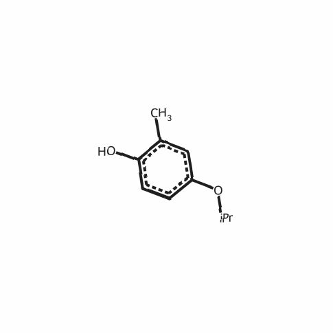 Cc1cc(OC(C)C)ccc1O